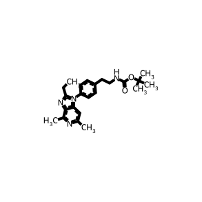 CCc1nc2c(C)nc(C)cc2n1-c1ccc(CCNC(=O)OC(C)(C)C)cc1